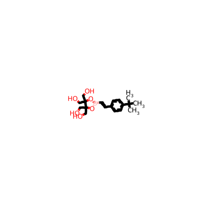 CC(C)(C)c1ccc(C=CB2OC(CO)(CO)C(CO)(CO)O2)cc1